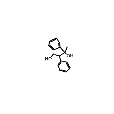 CC(O)(c1ccccc1)C(CO)c1ccccc1